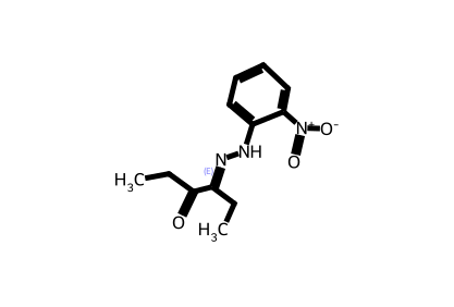 CCC(=O)/C(CC)=N/Nc1ccccc1[N+](=O)[O-]